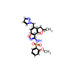 COc1ccccc1S(=O)(=O)Nc1noc2cc(Cn3cccn3)c3c(c12)OC(C)C3